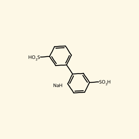 O=S(=O)(O)c1cccc(-c2cccc(S(=O)(=O)O)c2)c1.[NaH]